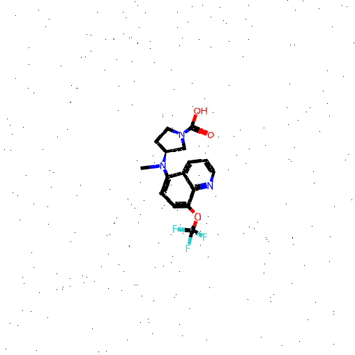 CN(c1ccc(OC(F)(F)F)c2ncccc12)[C@H]1CCN(C(=O)O)C1